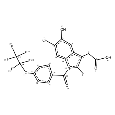 Cc1c(CC(=O)O)c2cc(O)c(Cl)cc2n1C(=O)c1ccc(OC(F)(F)C(F)(F)F)cc1